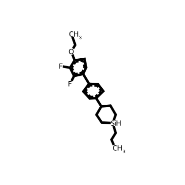 CCC[SiH]1CCC(c2ccc(-c3ccc(OCC)c(F)c3F)cc2)CC1